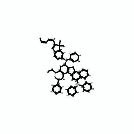 C/C=C\C=C/C1=Cc2ccc(N(C3=CCCC=C3)C3CC(CCC)=C(CC(C)c4ccccc4)C4=C3Cc3c4cc(N(c4ccccc4)c4ccccc4)c4ccccc34)cc2C1(C)C